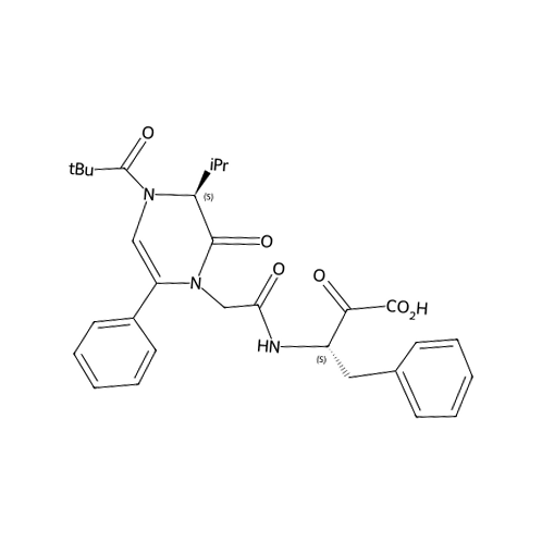 CC(C)[C@H]1C(=O)N(CC(=O)N[C@@H](Cc2ccccc2)C(=O)C(=O)O)C(c2ccccc2)=CN1C(=O)C(C)(C)C